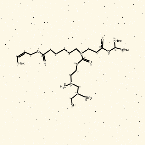 CCCCCC/C=C\COC(=O)CCCCCN(CCC(=O)OC(CCCCCC)CCCCCC)C(=O)SCCN(C)CC(CS)NC